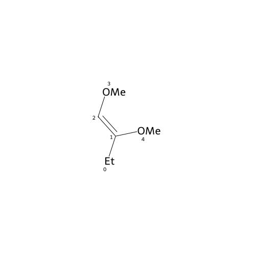 CCC(=COC)OC